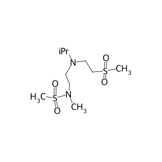 CC(C)N(CCN(C)S(C)(=O)=O)CCS(C)(=O)=O